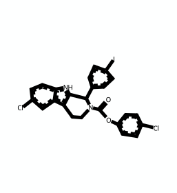 O=C(Oc1ccc(Cl)cc1)N1CCc2c([nH]c3ccc(Cl)cc23)C1c1ccc(I)cc1